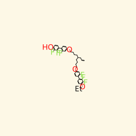 C=CCC(CCCCOc1ccc(-c2ccc(O)c(F)c2F)c(F)c1)CCCCOc1ccc(-c2ccc(OCC)c(F)c2F)c(F)c1